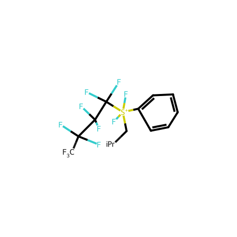 CC(C)C[S+](F)(F)(c1ccccc1)C(F)(F)C(F)(F)C(F)(F)C(F)(F)F